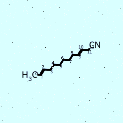 CC=CCCCCCCC=CCC#N